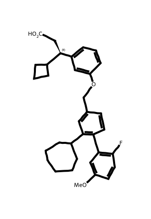 COc1ccc(F)c(-c2ccc(COc3cccc([C@H](CC(=O)O)C4CCC4)c3)cc2C2CCCCCC2)c1